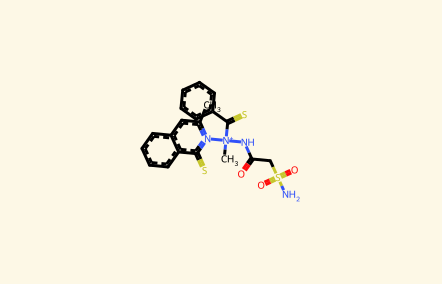 Cc1cc2ccccc2c(=S)n1[N+](C)(NC(=O)CS(N)(=O)=O)C(=S)c1ccccc1